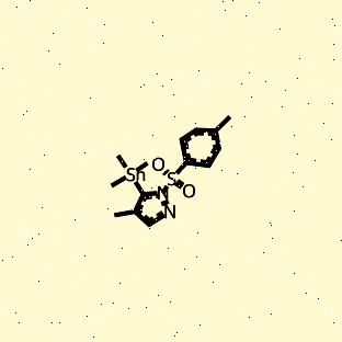 Cc1ccc(S(=O)(=O)n2ncc(C)[c]2[Sn]([CH3])([CH3])[CH3])cc1